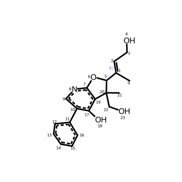 C/C(=C\CO)C1Oc2ncc(-c3ccccc3)c(O)c2C1(C)CO